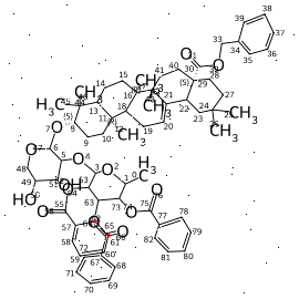 CC1OC(OC2C(O[C@H]3CC[C@@]4(C)C(CC[C@]5(C)C4CC=C4C6CC(C)(C)CC[C@]6(C(=O)OCc6ccccc6)CC[C@]45C)C3(C)C)OCC(O)C2O)C(OC(=O)c2ccccc2)C(OC(=O)c2ccccc2)C1OC(=O)c1ccccc1